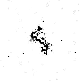 CC1(Oc2ccc3[nH]nc(-c4cc(N5CCNCC5(C)C)ncn4)c3n2)CC1